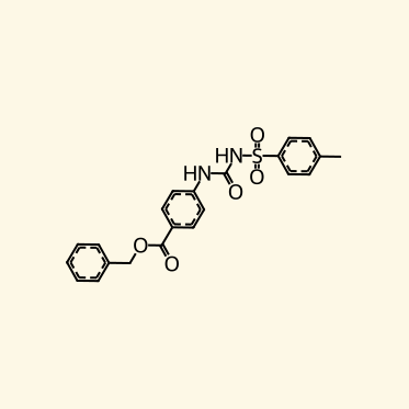 Cc1ccc(S(=O)(=O)NC(=O)Nc2ccc(C(=O)OCc3ccccc3)cc2)cc1